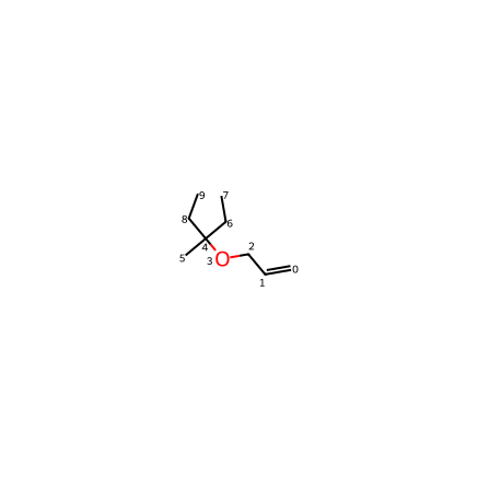 C=CCOC(C)(CC)CC